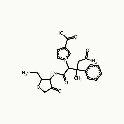 CCC1OCC(=O)C1NC(=O)C(n1ccc(C(=O)O)c1)C(C)(CC(N)=O)c1ccccc1